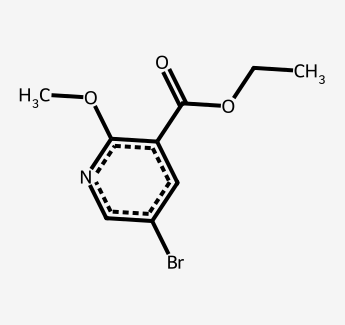 CCOC(=O)c1cc(Br)cnc1OC